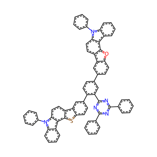 c1ccc(-c2nc(-c3ccccc3)nc(-c3cc(-c4ccc5oc6c(ccc7c6c6ccccc6n7-c6ccccc6)c5c4)ccc3-c3ccc4sc5c(ccc6c5c5ccccc5n6-c5ccccc5)c4c3)n2)cc1